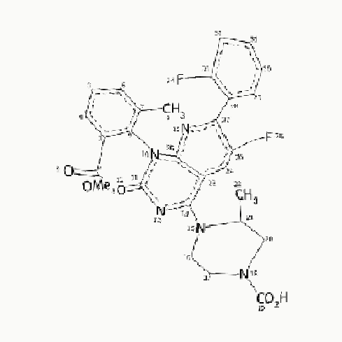 COC(=O)c1cccc(C)c1-n1c(=O)nc(N2CCN(C(=O)O)CC2C)c2cc(F)c(-c3ccccc3F)nc21